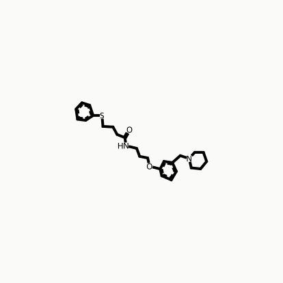 O=C(CCCSc1ccccc1)NCCCOc1cccc(CN2CCCCC2)c1